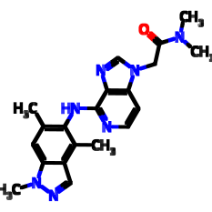 Cc1cc2c(cnn2C)c(C)c1Nc1nccc2c1ncn2CC(=O)N(C)C